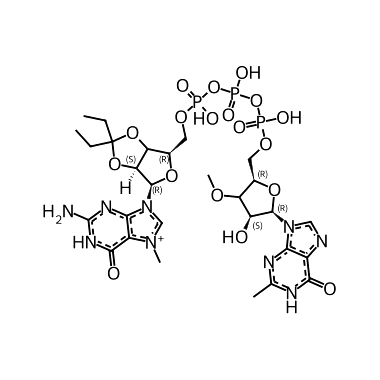 CCC1(CC)OC2[C@@H](COP(=O)(O)OP(=O)(O)OP(=O)(O)OC[C@H]3O[C@@H](n4cnc5c(=O)[nH]c(C)nc54)[C@@H](O)C3OC)O[C@@H](n3c[n+](C)c4c(=O)[nH]c(N)nc43)[C@H]2O1